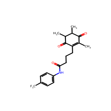 CC1=C(CCCC(=O)Nc2ccc(C(F)(F)F)cc2)C(=O)C(C)C(C)C1=O